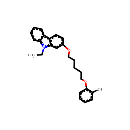 N#Cc1ccccc1OCCCCCOc1ccc2c3ccccc3n(CC(=O)O)c2c1